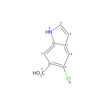 O=C(O)c1cc2[nH]ccc2cc1Cl